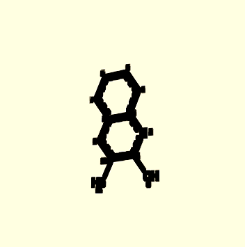 Oc1nc2ccccc2cc1S